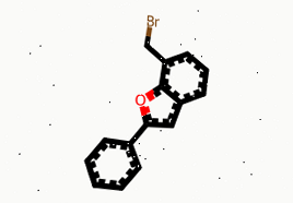 BrCc1cccc2cc(-c3ccccc3)oc12